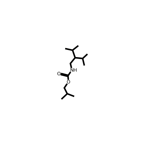 CC(C)COC(=O)NCC(C(C)C)C(C)C